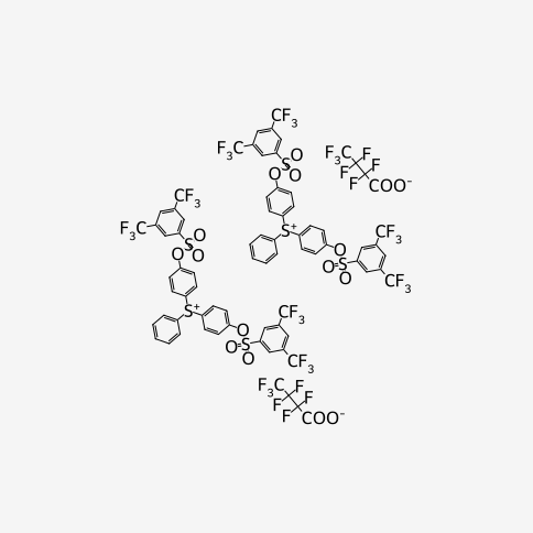 O=C([O-])C(F)(F)C(F)(F)C(F)(F)F.O=C([O-])C(F)(F)C(F)(F)C(F)(F)F.O=S(=O)(Oc1ccc([S+](c2ccccc2)c2ccc(OS(=O)(=O)c3cc(C(F)(F)F)cc(C(F)(F)F)c3)cc2)cc1)c1cc(C(F)(F)F)cc(C(F)(F)F)c1.O=S(=O)(Oc1ccc([S+](c2ccccc2)c2ccc(OS(=O)(=O)c3cc(C(F)(F)F)cc(C(F)(F)F)c3)cc2)cc1)c1cc(C(F)(F)F)cc(C(F)(F)F)c1